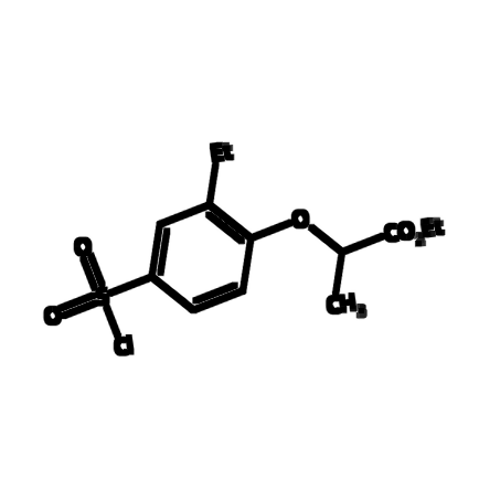 CCOC(=O)C(C)Oc1ccc(S(=O)(=O)Cl)cc1CC